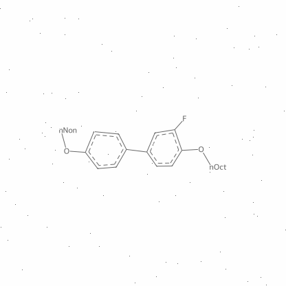 CCCCCCCCCOc1ccc(-c2ccc(OCCCCCCCC)c(F)c2)cc1